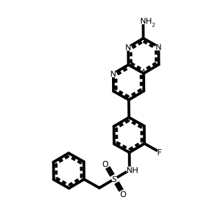 Nc1ncc2cc(-c3ccc(NS(=O)(=O)Cc4ccccc4)c(F)c3)cnc2n1